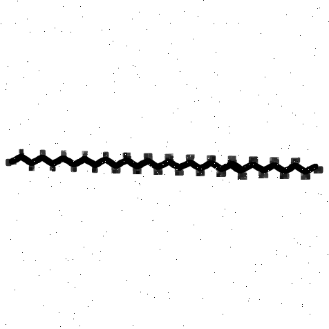 [CH2]CCCCCCCCCCCCCCCCCCCCC=CCCCCCCC